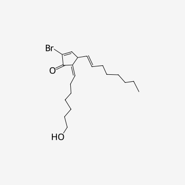 CCCCCCC=CC1C=C(Br)C(=O)C1=CCCCCCCO